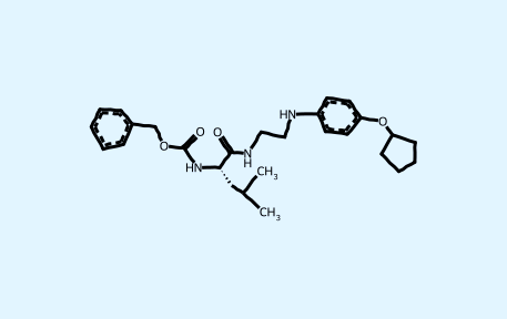 CC(C)C[C@H](NC(=O)OCc1ccccc1)C(=O)NCCNc1ccc(OC2CCCC2)cc1